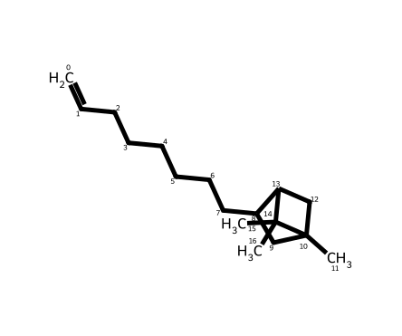 C=CCCCCCCC1CC2(C)CC1C2(C)C